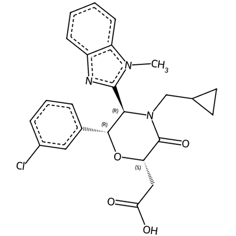 Cn1c([C@@H]2[C@@H](c3cccc(Cl)c3)O[C@@H](CC(=O)O)C(=O)N2CC2CC2)nc2ccccc21